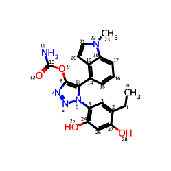 CCc1cc(-n2nnc(OC(N)=O)c2-c2cccc3c2ccn3C)c(O)cc1O